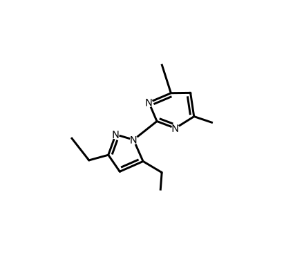 CCc1cc(CC)n(-c2nc(C)cc(C)n2)n1